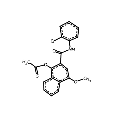 COc1cc(C(=O)Nc2ccccc2Cl)c(OC(C)=S)c2ccccc12